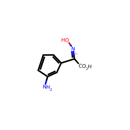 Nc1cccc(/C(=N\O)C(=O)O)c1